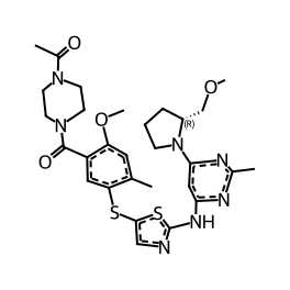 COC[C@H]1CCCN1c1cc(Nc2ncc(Sc3cc(C(=O)N4CCN(C(C)=O)CC4)c(OC)cc3C)s2)nc(C)n1